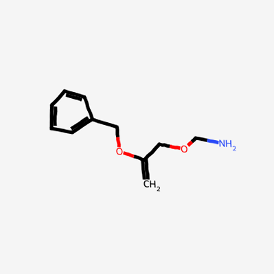 C=C(COCN)OCc1ccccc1